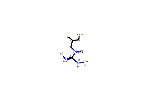 CCN(CC(C)CS)/C(=N\C(C)C)NC(C)C